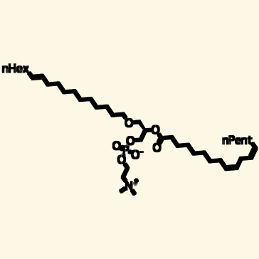 CCCCC/C=C\C/C=C\CCCCCCCC(=O)O[C@H](COCCCCCCCCCC/C=C/CCCCCC)COP(=O)([O-])OCC[N+](C)(C)C